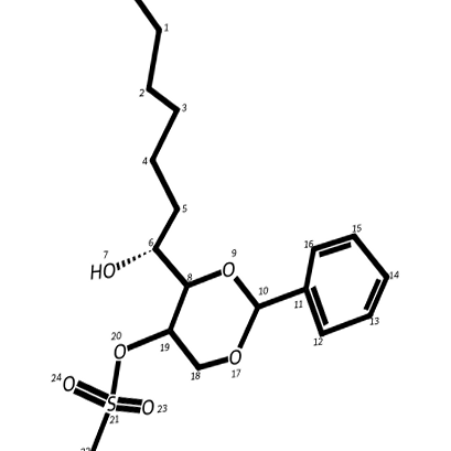 CCCCCC[C@@H](O)C1OC(c2ccccc2)OCC1OS(C)(=O)=O